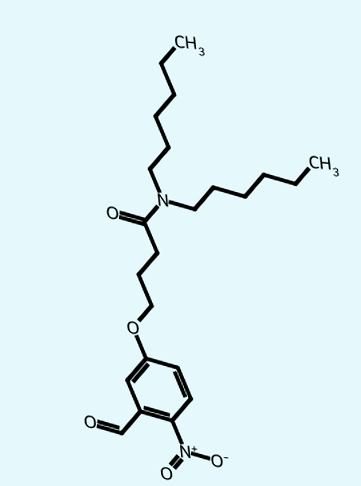 CCCCCCN(CCCCCC)C(=O)CCCOc1ccc([N+](=O)[O-])c(C=O)c1